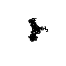 CC(C)[Si](O[C@H]1CC[C@H](N(C(=O)CN)S(=O)(=O)c2ccc([N+](=O)[O-])cc2)CC1)(C(C)C)C(C)C